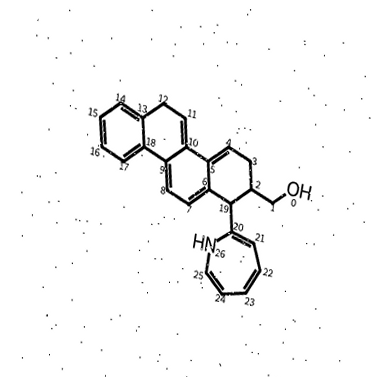 OCC1CC=c2c(ccc3c2=CCc2ccccc2-3)C1C1=CC=CC=CN1